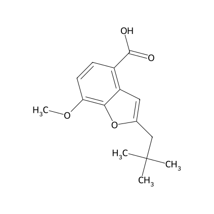 COc1ccc(C(=O)O)c2cc(CC(C)(C)C)oc12